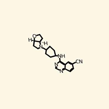 N#Cc1ccc2ncnc(NC3CCC(N4CC[C@@H]5OCC[C@H]54)CC3)c2c1